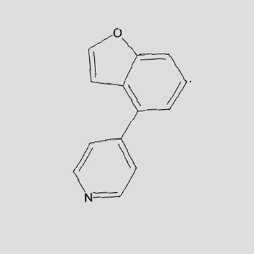 [c]1cc(-c2ccncc2)c2ccoc2c1